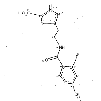 O=C(O)c1nc(CCNC(=O)c2ccc(C(F)(F)F)cc2F)n[nH]1